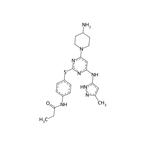 CCC(=O)Nc1ccc(Sc2nc(Nc3cc(C)n[nH]3)cc(N3CCC(N)CC3)n2)cc1